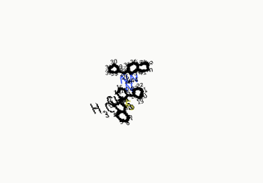 CC1(C)c2ccccc2-c2sc3c(c21)C=CC1C3c2ccccc2N1c1nc(-c2ccccc2)c2ccc3ccccc3c2n1